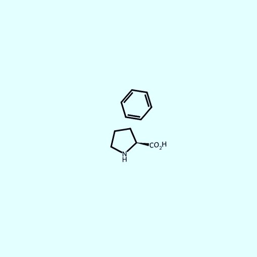 O=C(O)[C@@H]1CCCN1.c1ccccc1